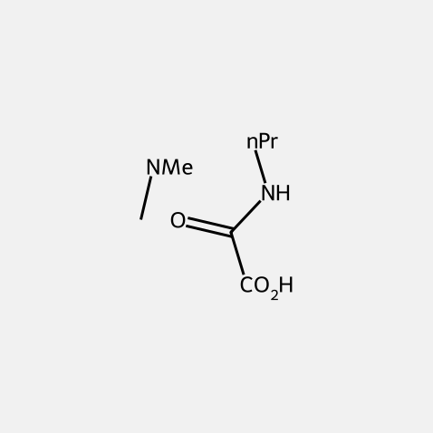 CCCNC(=O)C(=O)O.CNC